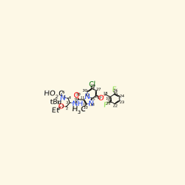 CCOCC(CN(C(=O)O)C(C)(C)C)NC(=O)c1c(C)nc2c(OCc3c(F)cccc3F)cc(Cl)cn12